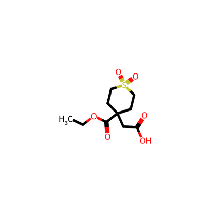 CCOC(=O)C1(CC(=O)O)CCS(=O)(=O)CC1